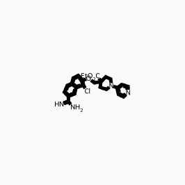 CCOC(=O)C1(COc2ccc3ccc(C(=N)N)cc3c2Cl)CCN(c2ccncc2)CC1